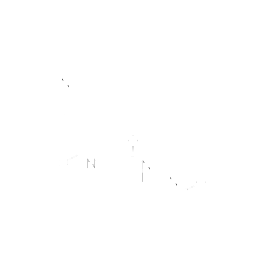 CC(=O)NC(C)CNC(=O)C1CCCN(C(=O)CCC2CCNCC2)C1